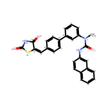 CN(C(=O)Nc1ccc2ccccc2c1)c1cccc(-c2ccc(/C=C3/SC(=O)NC3=O)cc2)c1